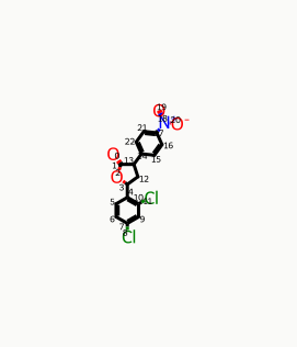 O=C1OC(c2ccc(Cl)cc2Cl)CC1c1ccc([N+](=O)[O-])cc1